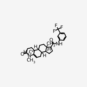 CN1C(=O)CC[C@@]2(C)C1=CC[C@@H]1[C@H]2CC[C@]2(C)C(C(=O)Nc3cccc(C(F)(F)F)c3)CC[C@@H]12